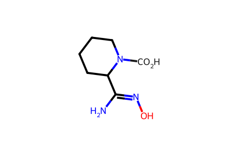 NC(=NO)C1CCCCN1C(=O)O